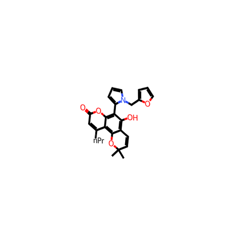 CCCc1cc(=O)oc2c(-c3cccn3Cc3ccco3)c(O)c3c(c12)OC(C)(C)C=C3